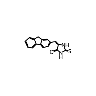 O=C1NC(=S)NC1=Cc1ccc2c(c1)Cc1ccccc1-2